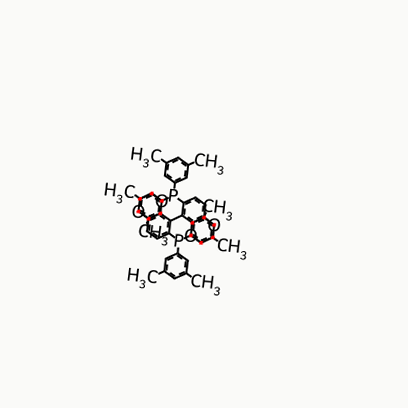 Cc1cc(C)cc(P(c2cc(C)cc(C)c2)c2ccc3c(c2-c2c(P(c4cc(C)cc(C)c4)c4cc(C)cc(C)c4)ccc4c2OCCO4)OCCO3)c1